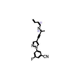 C=C/C=C\N=C(/C)C#Cc1cnn(-c2cc(F)cc(C#N)c2)c1